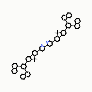 CC1(C)c2cc(-c3ccc(-c4ccc(-c5ccc6c(c5)C(C)(C)c5cc(-c7cc(-c8cccc9ccccc89)cc(-c8cccc9ccccc89)c7)ccc5-6)cn4)nc3)ccc2-c2ccc(-c3cc(-c4cccc5ccccc45)cc(-c4cccc5ccccc45)c3)cc21